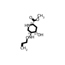 C=CCON[C@H]1CN[C@H](C(=O)OC)C[C@@H]1O